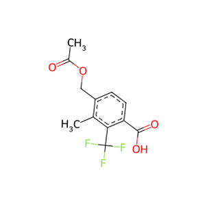 CC(=O)OCc1ccc(C(=O)O)c(C(F)(F)F)c1C